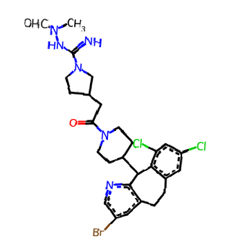 CN(C=O)NC(=N)N1CCC(CC(=O)N2CCC(C3c4ncc(Br)cc4CCc4cc(Cl)cc(Cl)c43)CC2)C1